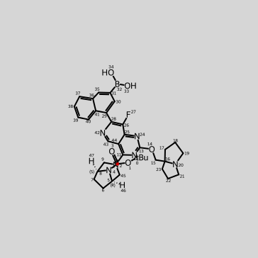 CC(C)(C)OC(=O)N1[C@@H]2CC[C@H]1CN(c1nc(OCC34CCCN3CCC4)nc3c(F)c(-c4cc(B(O)O)cc5ccccc45)ncc13)C2